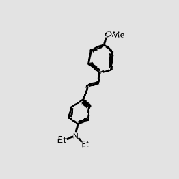 CCN(CC)c1ccc(C=Cc2ccc(OC)cc2)cc1